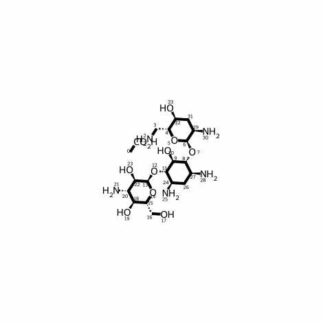 CC(=O)O.NC[C@H]1O[C@H](O[C@H]2[C@H](O)[C@@H](O[C@H]3O[C@H](CO)[C@@H](O)[C@H](N)[C@H]3O)[C@H](N)C[C@@H]2N)[C@H](N)C[C@@H]1O